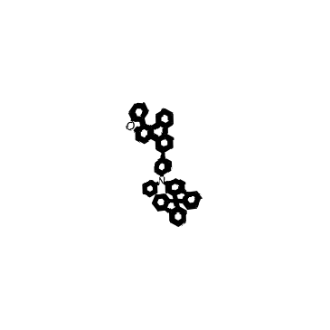 c1ccc(N(c2ccc(-c3ccc4c5ccccc5c5c(ccc6oc7ccccc7c65)c4c3)cc2)c2ccc3c(c2)C2(c4ccccc4-c4ccccc42)c2ccccc2-3)cc1